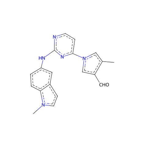 Cc1cn(-c2ccnc(Nc3ccc4c(ccn4C)c3)n2)cc1C=O